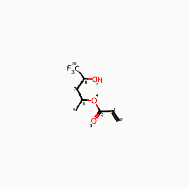 C=CC(=O)OC(C)CC(O)C(F)(F)F